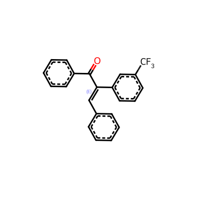 O=C(/C(=C/c1ccccc1)c1cccc(C(F)(F)F)c1)c1ccccc1